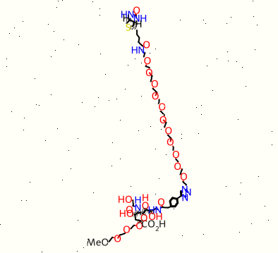 COCCOCCOCCO[C@]1(C(=O)O)C[C@H](O)[C@@H](NC(=O)CO)[C@H]([C@H](O)[C@H](O)CNC(=O)Cc2ccc(-c3cn(CCOCCOCCOCCOCCOCCOCCOCCOCCOCCOCCOCCNC(=O)CCCC[C@@H]4SC[C@@H]5NC(=O)N[C@@H]54)nn3)cc2)O1